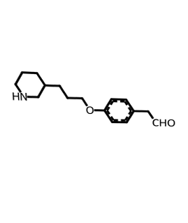 O=CCc1ccc(OCCCC2CCCNC2)cc1